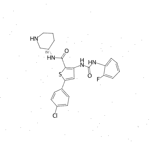 O=C(Nc1ccccc1F)Nc1cc(-c2ccc(Cl)cc2)sc1C(=O)N[C@H]1CCCNC1